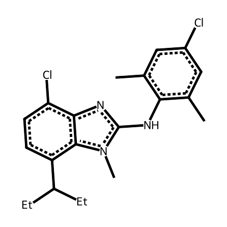 CCC(CC)c1ccc(Cl)c2nc(Nc3c(C)cc(Cl)cc3C)n(C)c12